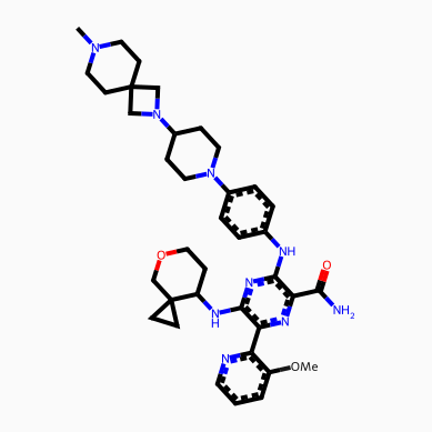 COc1cccnc1-c1nc(C(N)=O)c(Nc2ccc(N3CCC(N4CC5(CCN(C)CC5)C4)CC3)cc2)nc1NC1CCOCC12CC2